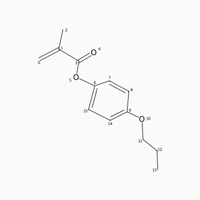 C=C(C)C(=O)Oc1ccc(OCCC)cc1